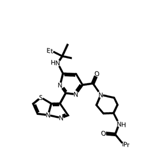 CCC(C)(C)Nc1cc(C(=O)N2CCC(NC(=O)C(C)C)CC2)nc(-c2cnn3ccsc23)n1